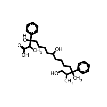 CC(CO)C(C)(CCCCC(O)CCCCC(C)(c1ccccc1)C(C)C(=O)O)c1ccccc1